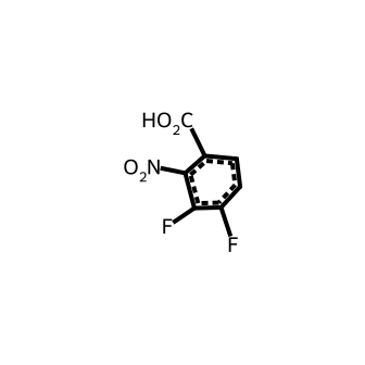 O=C(O)c1ccc(F)c(F)c1[N+](=O)[O-]